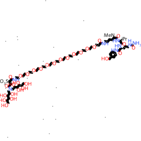 CN[C@@H](CCCCNC(=O)CCOCCOCCOCCOCCOCCOCCOCCOCCOCCOCCOCCOCCNC(=O)C(CC(=O)N(C[C@H](O)[C@@H](O)[C@H](O)[C@H](O)CO)C[C@H](O)[C@@H](O)[C@H](O)[C@H](O)CO)S(=O)(=O)O)C(=O)N[C@H](C(=O)N[C@@H](CCCNC(N)=O)C(=O)Nc1ccc(CO)cc1)C(C)C